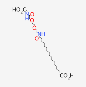 O=C(O)CCCCCCCCCCCCCCCCC(=O)NCCOCCOCC(=O)NCC(=O)O